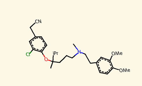 COc1ccc(CCN(C)CCCC(C)(Oc2ccc(CC#N)cc2Cl)C(C)C)cc1OC